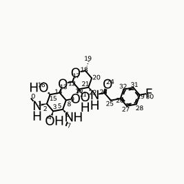 CN[C@@H]1[C@H](O)[C@H](NC)C2O[C@]3(O)C(OC2[C@@H]1O)O[C@H](C)C[C@H]3NC(=O)Cc1ccc(F)cc1